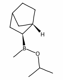 CB(OC(C)C)[C@H]1CC2CC[C@H]1C2